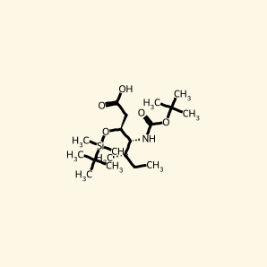 CC[C@H](C)[C@@H](NC(=O)OC(C)(C)C)[C@H](CC(=O)O)O[Si](C)(C)C(C)(C)C